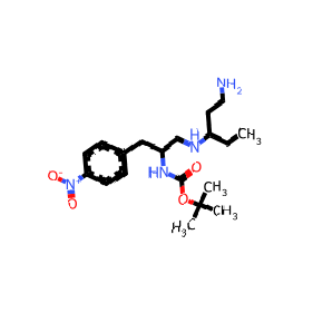 CCC(CCN)NCC(Cc1ccc([N+](=O)[O-])cc1)NC(=O)OC(C)(C)C